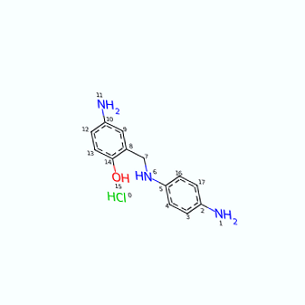 Cl.Nc1ccc(NCc2cc(N)ccc2O)cc1